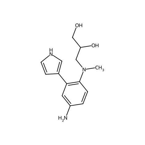 CN(CC(O)CO)c1ccc(N)cc1-c1cc[nH]c1